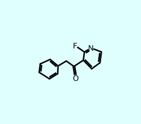 O=C(Cc1ccccc1)c1cccnc1F